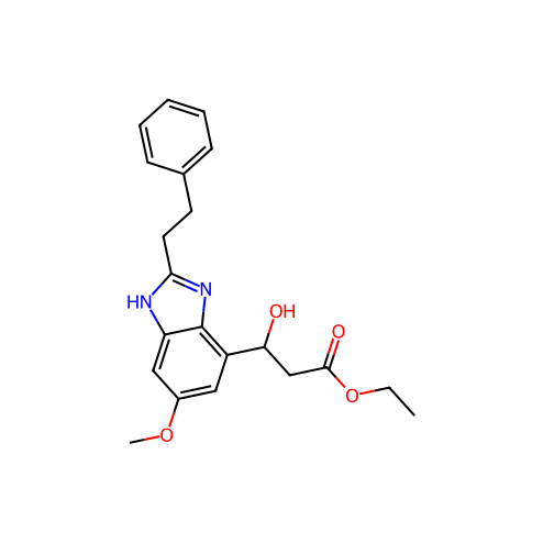 CCOC(=O)CC(O)c1cc(OC)cc2[nH]c(CCc3ccccc3)nc12